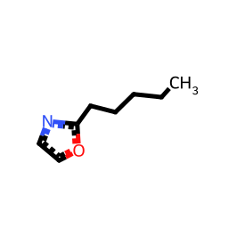 CCCCCc1ncco1